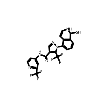 O=C(Nc1ccnc(C(F)(F)F)c1)c1cnn(-c2cccc3c2C=CNC3S)c1C(F)(F)F